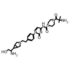 CC(C)(N)C(=O)N1CCN(C(=O)Nc2ccn(-c3ccc(CCN4CC5C(C4)C5C(N)CO)cc3)c(=O)n2)CC1